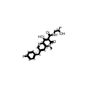 C[C@@H](O)CNC(=O)c1c(O)c2ncc(Cc3ccc(F)cc3)cc2n(C)c1=O